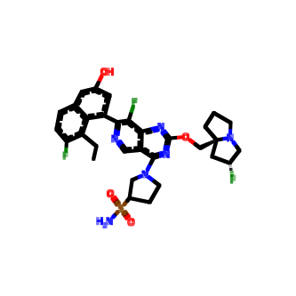 CCc1c(F)ccc2cc(O)cc(-c3ncc4c(N5CCC(S(N)(=O)=O)C5)nc(OC[C@@]56CCCN5C[C@H](F)C6)nc4c3F)c12